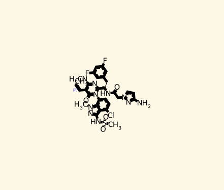 C=Nc1nc([C@H](Cc2cc(F)cc(F)c2)NC(=O)Cn2ccc(N)n2)n(-c2ccc(Cl)c3c(NS(C)(=O)=O)nn(C)c23)c(=O)c1/C=C\C